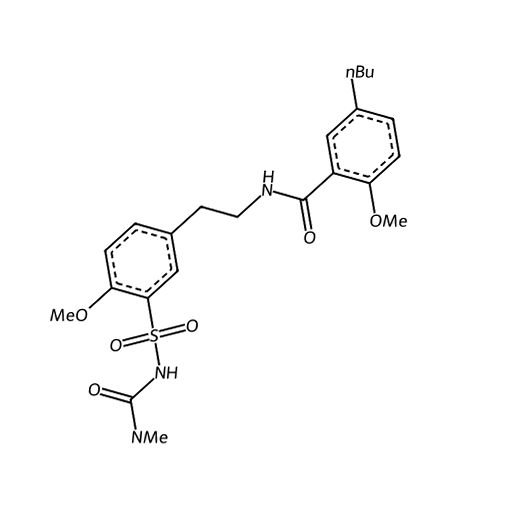 CCCCc1ccc(OC)c(C(=O)NCCc2ccc(OC)c(S(=O)(=O)NC(=O)NC)c2)c1